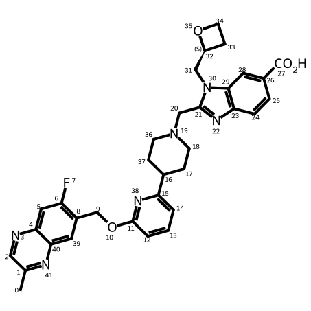 Cc1cnc2cc(F)c(COc3cccc(C4CCN(Cc5nc6ccc(C(=O)O)cc6n5C[C@@H]5CCO5)CC4)n3)cc2n1